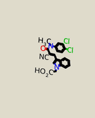 CN(C(=O)/C(C#N)=C/c1cn(CC(=O)O)c2ccccc12)c1ccc(Cl)c(Cl)c1